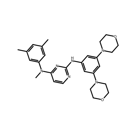 Cc1cc(C)cc(N(C)c2ccnc(Nc3cc(N4CCOCC4)cc(N4CCOCC4)c3)n2)c1